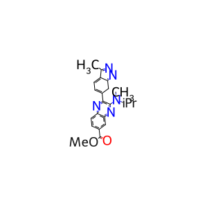 COC(=O)c1ccc2nc(C3=CC=C4C(C)=NN=C4C3)c(N(C)C(C)C)nc2c1